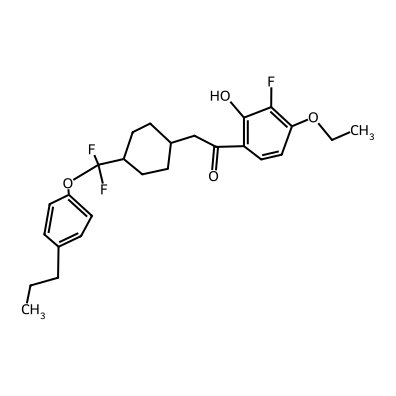 CCCc1ccc(OC(F)(F)C2CCC(CC(=O)c3ccc(OCC)c(F)c3O)CC2)cc1